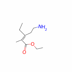 CCOC(=O)C(C)=C(CC)CCN